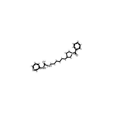 O=C(NCCCCCCC1CCN(C(=O)c2ccccc2)C1)Nc1cccnc1